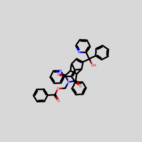 O=C(OCN1C(=O)C2C3C=C(C(O)(c4ccccc4)c4ccccn4)C(C3=C(c3ccccc3)c3ccccn3)C2C1=O)c1ccccc1